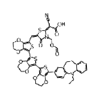 CCN1c2ccccc2CCc2cc(-c3sc(-c4sc(-c5sc(/C=c6/s/c(=C(\C#N)C(=O)O)n(COC=O)c6=O)c6c5OCCO6)c5c4OCCO5)c4c3OCCO4)ccc21